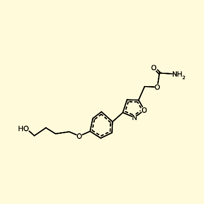 NC(=O)OCc1cc(-c2ccc(OCCCCO)cc2)no1